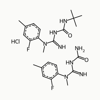 Cc1ccc(N(C)C(=N)NC(=O)NC(C)(C)C)c(F)c1.Cc1ccc(N(C)C(=N)NC(N)=O)c(F)c1.Cl